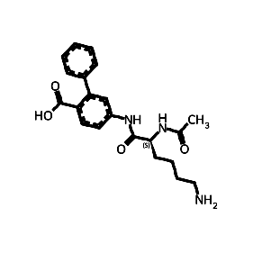 CC(=O)N[C@@H](CCCCN)C(=O)Nc1ccc(C(=O)O)c(-c2ccccc2)c1